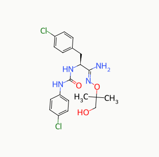 CC(C)(CO)O/N=C(\N)[C@H](Cc1ccc(Cl)cc1)NC(=O)Nc1ccc(Cl)cc1